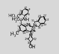 Cc1cc(C(C)Nc2ccccc2C(=O)O)c2nc(N3Cc4ccccc4C3)nc(N3CC(O)C3)c2c1